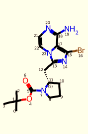 CC(C)(C)OC(=O)N1CCC[C@H]1Cc1nc(Br)c2c(N)nccn12